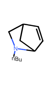 CCCCN1CC2C=CC1C2